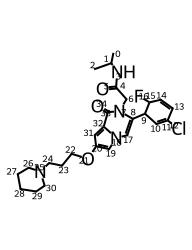 CC(C)NC(=O)Cn1c(C2C=C(Cl)C=CC2F)cn2cc(OCCCN3CCCCC3)cc2c1=O